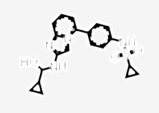 O=S(=O)(Nc1ccc(-c2cccc3nc(NC(O)C4CC4)cn23)cc1)C1CC1